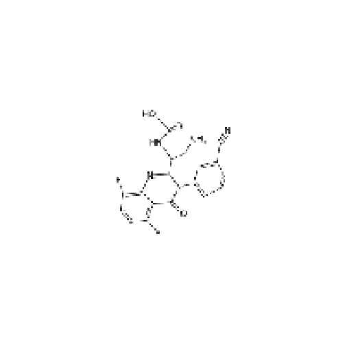 CCC(NC(=O)O)c1nc2c(F)ccc(F)c2c(=O)n1-c1cccc(C#N)c1